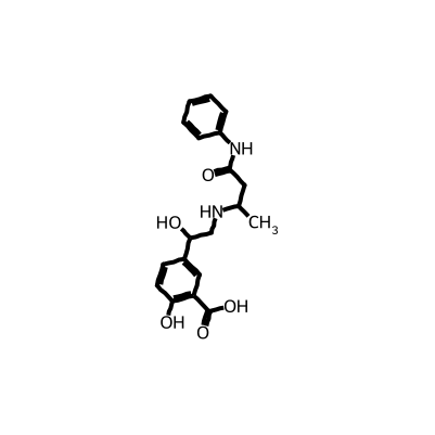 CC(CC(=O)Nc1ccccc1)NCC(O)c1ccc(O)c(C(=O)O)c1